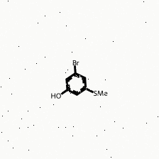 CSc1cc(O)cc(Br)c1